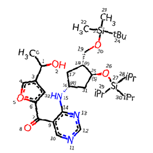 CC(O)c1coc(C(=O)c2cncnc2N[C@@H]2C[C@H](CO[Si](C)(C)C(C)(C)C)[C@@H](O[Si](C(C)C)(C(C)C)C(C)C)C2)c1